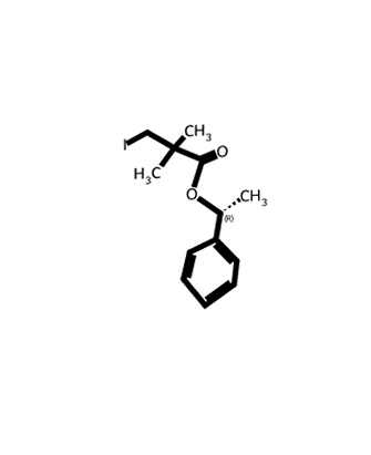 C[C@@H](OC(=O)C(C)(C)CI)c1ccccc1